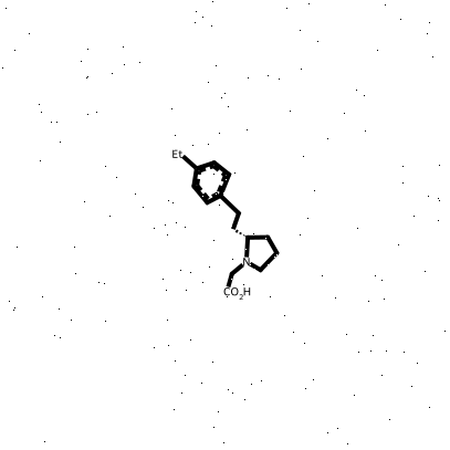 CCc1ccc(CC[C@@H]2CCCN2CC(=O)O)cc1